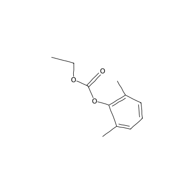 CCOC(=O)Oc1c(C)cccc1C